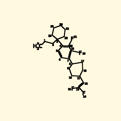 CCCC1(c2ccc(C3CCC(C=C(F)F)CC3)c(F)c2F)CCCCC1